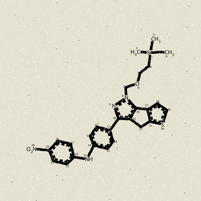 C[Si](C)(C)CCOCn1nc(-c2ccc(Nc3ccc([N+](=O)[O-])cc3)cc2)c2c1-c1ccsc1C2